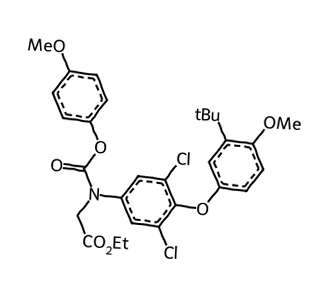 CCOC(=O)CN(C(=O)Oc1ccc(OC)cc1)c1cc(Cl)c(Oc2ccc(OC)c(C(C)(C)C)c2)c(Cl)c1